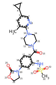 Cc1cc(C2CC2)cnc1N1CCN(C(=O)c2ccc(N3CCOC3=O)cc2NS(C)(=O)=O)CC1